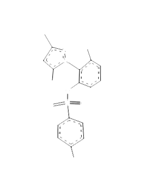 Cc1ccc(S(=O)(=O)Oc2cccc(O)c2-n2nc(C)cc2C)cc1